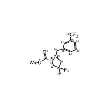 COC(=O)[C@H]1CC(F)(F)CN1Cc1cccc(C(F)(F)F)c1